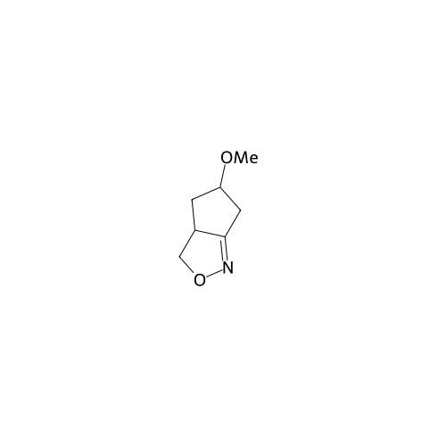 COC1CC2=NOCC2C1